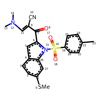 CSc1ccc2cc(C(=O)C(C#N)=CN(C)C)n(S(=O)(=O)c3ccc(C)cc3)c2c1